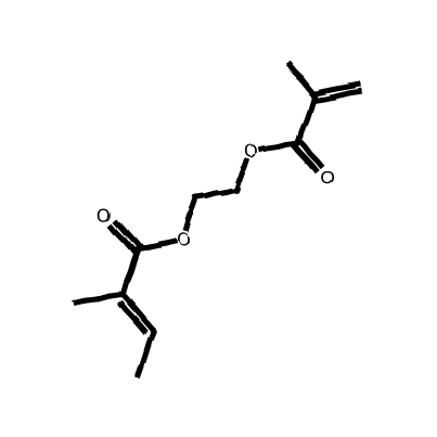 C=C(C)C(=O)OCCOC(=O)C(C)=CC